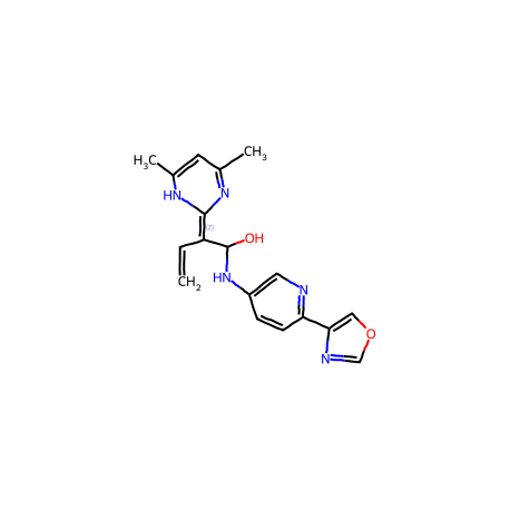 C=C/C(=C1/N=C(C)C=C(C)N1)C(O)Nc1ccc(-c2cocn2)nc1